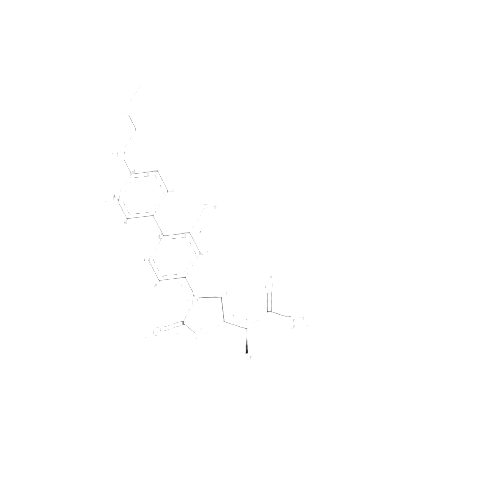 COCOc1ccc(-c2ccc(N3CC([C@H](C)C(N)=O)OC3=O)cc2F)cn1